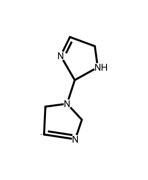 [C]1=NCN(C2N=CCN2)C1